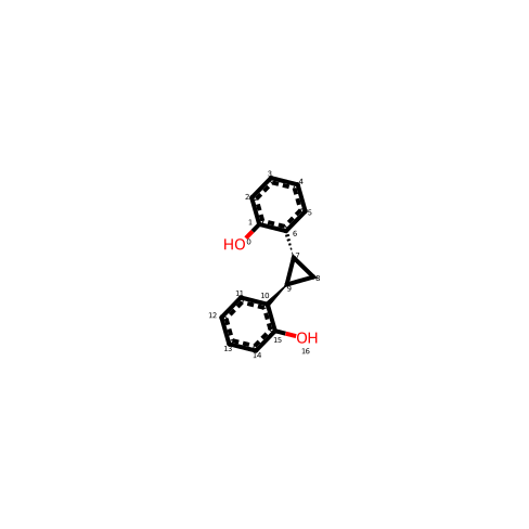 Oc1ccccc1[C@@H]1C[C@H]1c1ccccc1O